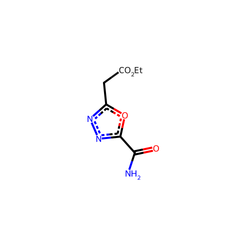 CCOC(=O)Cc1nnc(C(N)=O)o1